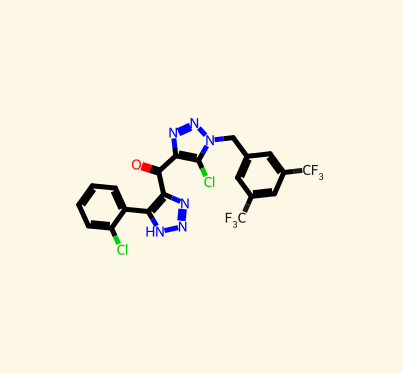 O=C(c1nn[nH]c1-c1ccccc1Cl)c1nnn(Cc2cc(C(F)(F)F)cc(C(F)(F)F)c2)c1Cl